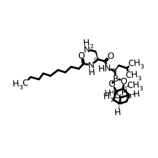 CCCCCCCCCC(=O)N[C@@H](CN)C(=O)N[C@@H](CC(C)C)B1O[C@@H]2C[C@@H]3C[C@@H](C3(C)C)[C@]2(C)O1